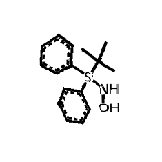 CC(C)(C)[Si](NO)(c1ccccc1)c1ccccc1